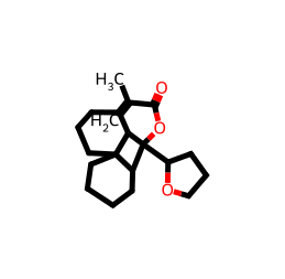 C=C(C)C(=O)OC1(C2CCCO2)C2CCCCC23CCCCC31